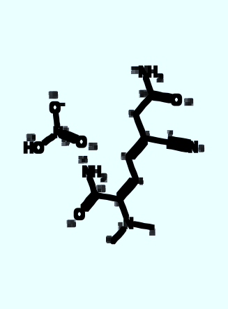 CN(C)C(=CC=C(C#N)CC(N)=O)C(N)=O.O=[N+]([O-])O